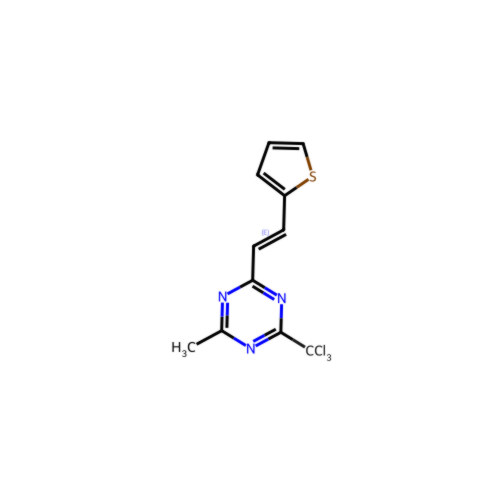 Cc1nc(/C=C/c2cccs2)nc(C(Cl)(Cl)Cl)n1